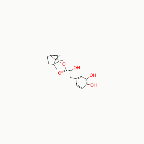 CC1(C)C2CCC1(C)C(OC(=O)C(O)Cc1ccc(O)c(O)c1)C2